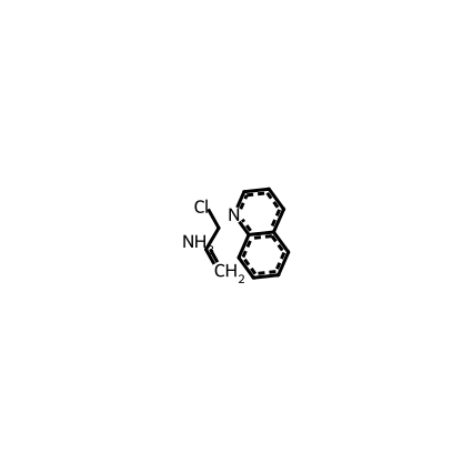 C=CCCl.N.c1ccc2ncccc2c1